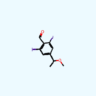 COC(C)c1cc(I)c(C=O)c(I)c1